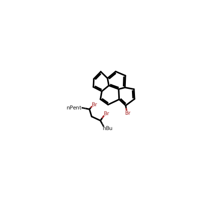 Brc1ccc2ccc3cccc4ccc1c2c34.CCCCCC(Br)CC(Br)CCCC